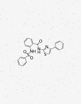 O=C(Nc1nc(-c2ccccc2)cs1)c1ccccc1NS(=O)(=O)c1ccccc1